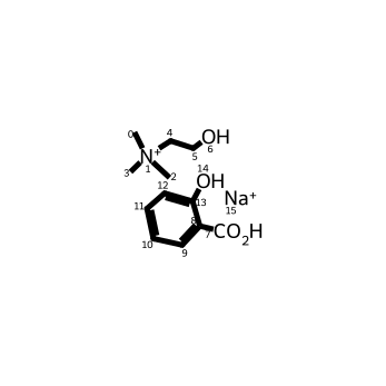 C[N+](C)(C)CCO.O=C(O)c1ccccc1O.[Na+]